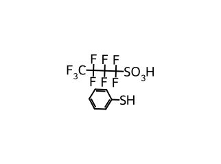 O=S(=O)(O)C(F)(F)C(F)(F)C(F)(F)C(F)(F)F.Sc1ccccc1